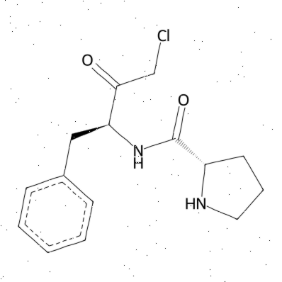 O=C(CCl)[C@H](Cc1ccccc1)NC(=O)[C@@H]1CCCN1